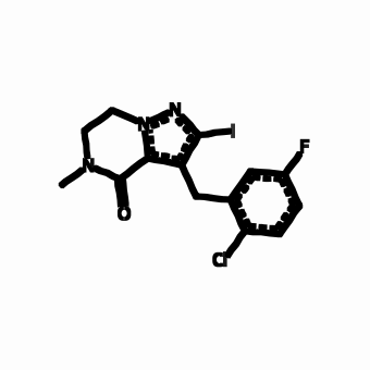 CN1CCn2nc(I)c(Cc3cc(F)ccc3Cl)c2C1=O